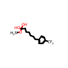 OC(O)(CCCCCCc1ccc(C(F)(F)F)cc1)O[SiH3]